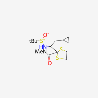 CNC(=O)C1(C(CC2CC2)N[S+]([O-])C(C)(C)C)SCCS1